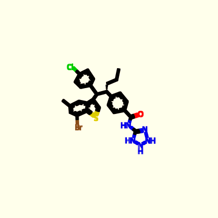 CCC[C@H](c1ccc(C(=O)NC2=NNNN2)cc1)C(c1ccc(Cl)cc1)c1csc2c(Br)cc(C)cc12